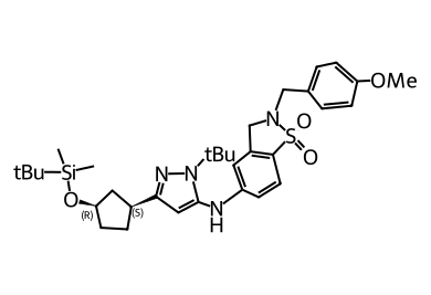 COc1ccc(CN2Cc3cc(Nc4cc([C@H]5CC[C@@H](O[Si](C)(C)C(C)(C)C)C5)nn4C(C)(C)C)ccc3S2(=O)=O)cc1